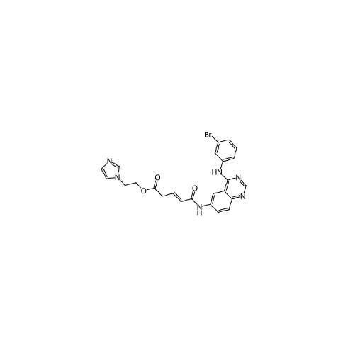 O=C(/C=C/CC(=O)OCCn1ccnc1)Nc1ccc2ncnc(Nc3cccc(Br)c3)c2c1